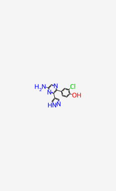 Nc1cnc(-c2ccc(O)c(Cl)c2)c(-c2cn[nH]c2)n1